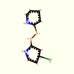 Brc1ccnc(SSc2ccccn2)c1